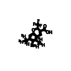 [2H]C([2H])([2H])c1cc2c(c(C([2H])([2H])[2H])c1Br)C=C(C(=O)O)C(C(F)(F)F)O2